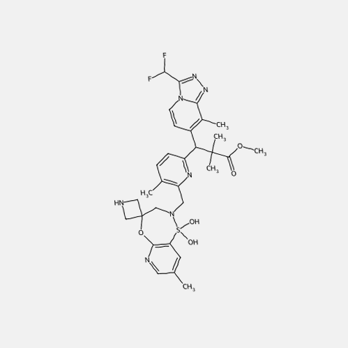 COC(=O)C(C)(C)C(c1ccc(C)c(CN2CC3(CNC3)Oc3ncc(C)cc3S2(O)O)n1)c1ccn2c(C(F)F)nnc2c1C